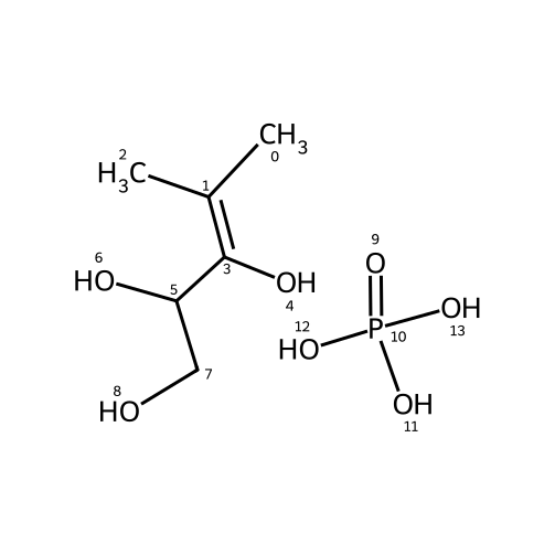 CC(C)=C(O)C(O)CO.O=P(O)(O)O